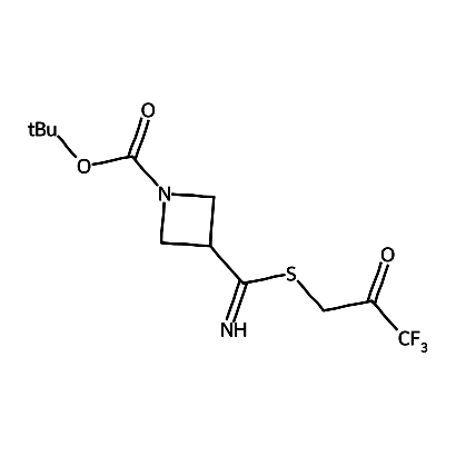 CC(C)(C)OC(=O)N1CC(C(=N)SCC(=O)C(F)(F)F)C1